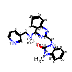 CN(Cc1cccnc1)c1nc(Cn2c(=O)n(C)c3ccccc32)nc2ccccc12